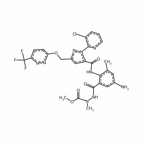 COC(=O)N(C)NC(=O)c1cc(N)cc(C)c1NC(=O)c1cc(COc2ccc(C(F)(F)F)nn2)nn1-c1ncccc1Cl